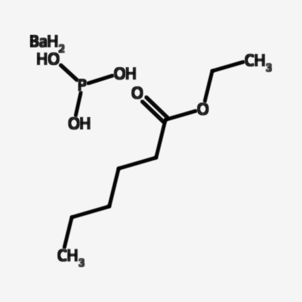 CCCCCC(=O)OCC.OP(O)O.[BaH2]